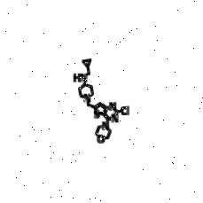 Clc1nc(N2CCOCC2)c2sc(CN3CCC(NCC4CC4)CC3)cc2n1